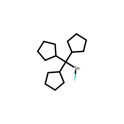 [F][Sn][C](C1CCCC1)(C1CCCC1)C1CCCC1